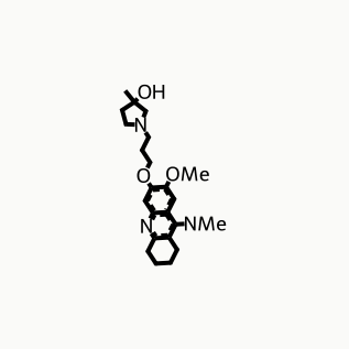 CNc1c2c(nc3cc(OCCCN4CCC(C)(O)C4)c(OC)cc13)CCCC2